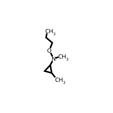 CCCON(C)C1CC1C